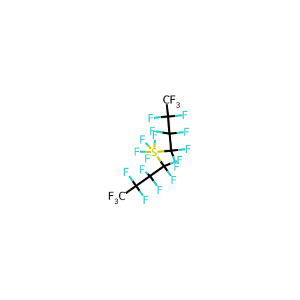 FC(F)(F)C(F)(F)C(F)(F)C(F)(F)S(F)(F)(F)(F)C(F)(F)C(F)(F)C(F)(F)C(F)(F)F